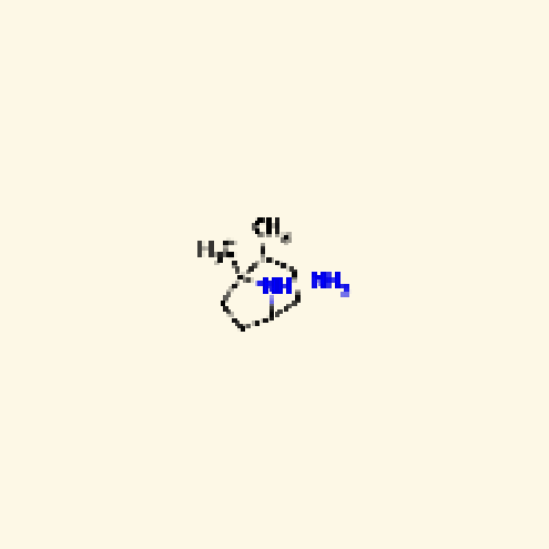 CC1CCC2CCC1(C)N2.N